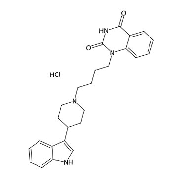 Cl.O=c1[nH]c(=O)n(CCCCN2CCC(c3c[nH]c4ccccc34)CC2)c2ccccc12